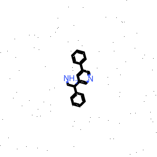 NCC(c1ccccc1)c1cncc(-c2ccccc2)c1